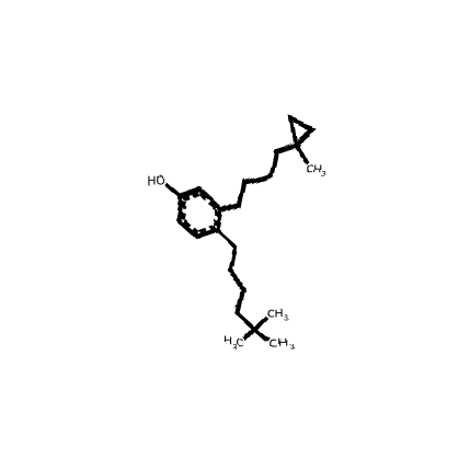 CC(C)(C)CCCCc1ccc(O)cc1CCCCC1(C)CC1